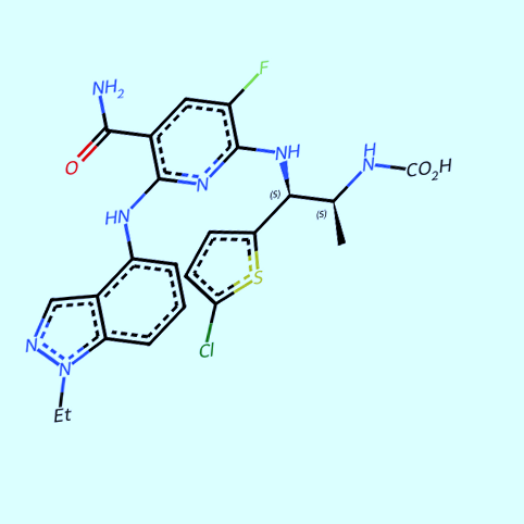 CCn1ncc2c(Nc3nc(N[C@H](c4ccc(Cl)s4)[C@H](C)NC(=O)O)c(F)cc3C(N)=O)cccc21